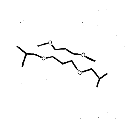 CC(C)COCCCOCC(C)C.COCCCOC